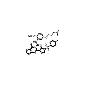 COc1ccc(OCCCN(C)C)cc1Nc1nc2c(ccn2S(=O)(=O)c2ccc(C)cc2)c2nc3ccsc3c(=O)n12